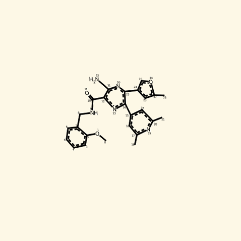 COc1ccccc1CNC(=O)c1nc(-c2cc(C)nc(C)c2)c(-c2coc(C)c2)nc1N